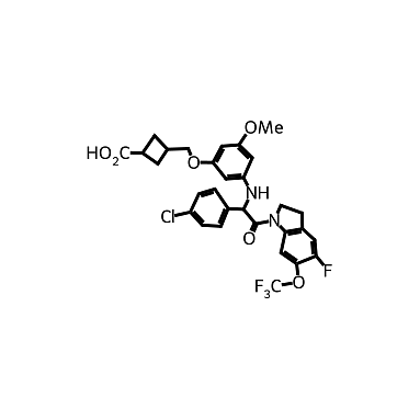 COc1cc(NC(C(=O)N2CCc3cc(F)c(OC(F)(F)F)cc32)c2ccc(Cl)cc2)cc(OCC2CC(C(=O)O)C2)c1